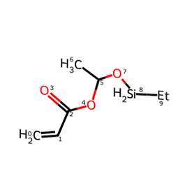 C=CC(=O)OC(C)O[SiH2]CC